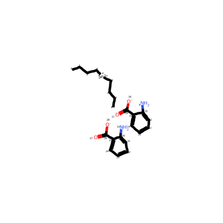 CCC[CH2][Sn+2][CH2]CCC.Nc1ccccc1C(=O)[O-].Nc1ccccc1C(=O)[O-]